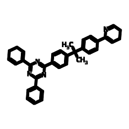 CC(C)(c1ccc(C2=CCCC=N2)cc1)c1ccc(-c2nc(C3=CCCC=C3)nc(-c3ccccc3)n2)cc1